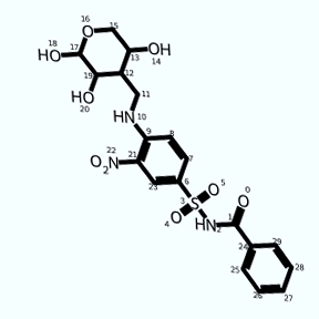 O=C(NS(=O)(=O)c1ccc(NCC2C(O)COC(O)C2O)c([N+](=O)[O-])c1)c1ccccc1